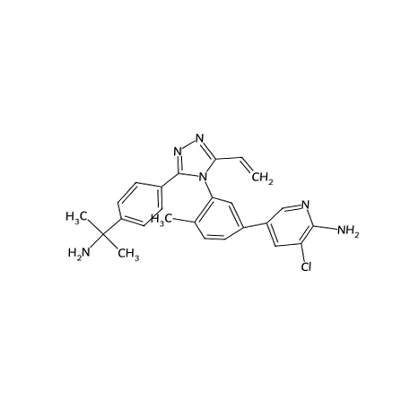 C=Cc1nnc(-c2ccc(C(C)(C)N)cc2)n1-c1cc(-c2cnc(N)c(Cl)c2)ccc1C